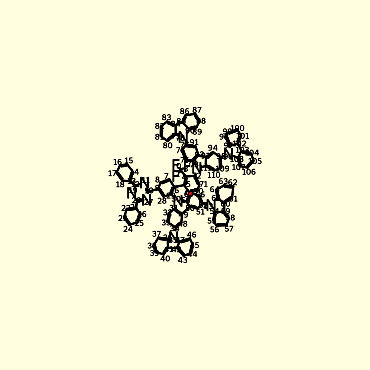 FC(F)(F)c1c(-c2ccc(-c3nc(-c4ccccc4)nc(-c4ccccc4)n3)cc2-n2c3ccc(-n4c5ccccc5c5ccccc54)cc3c3cc(-n4c5ccccc5c5ccccc54)ccc32)cccc1-n1c2ccc(-n3c4ccccc4c4ccccc43)cc2c2cc(-n3c4ccccc4c4ccccc43)ccc21